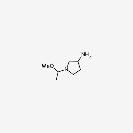 COC(C)N1CCC(N)C1